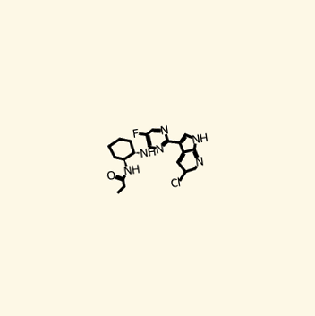 CCC(=O)N[C@H]1CCCC[C@@H]1Nc1nc(-c2c[nH]c3c2=CC(Cl)CN=3)ncc1F